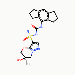 C[C@]1(O)COc2c([SH](N)(=O)NC(=O)Nc3c4c(cc5c3CCC5)CCC4)cnn2C1